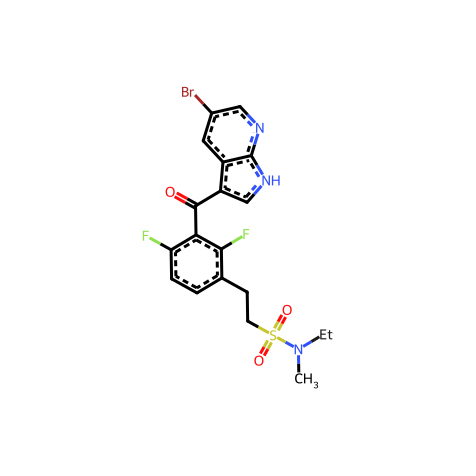 CCN(C)S(=O)(=O)CCc1ccc(F)c(C(=O)c2c[nH]c3ncc(Br)cc23)c1F